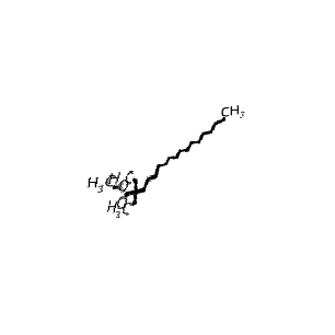 CCCCCCCCCCCCCCCCC(CC)(CC)C(=O)OCC